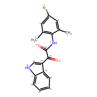 Cc1cc(Br)cc(C)c1NC(=O)C(=O)c1c[nH]c2ccccc12